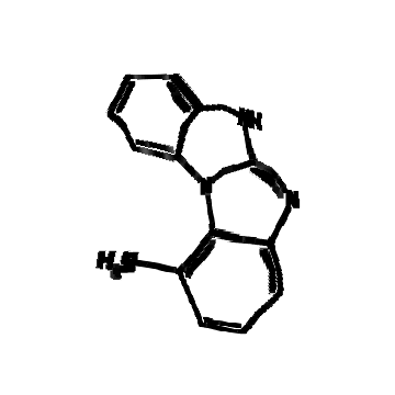 [SiH3]c1cccc2nc3[nH]c4ccccc4n3c12